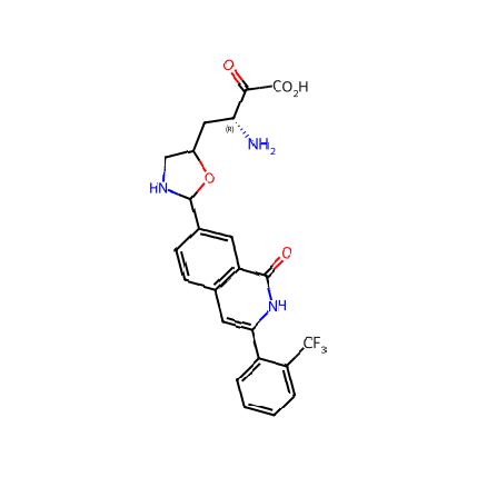 N[C@H](CC1CNC(c2ccc3cc(-c4ccccc4C(F)(F)F)[nH]c(=O)c3c2)O1)C(=O)C(=O)O